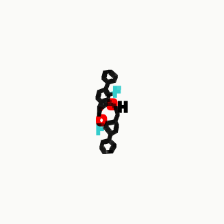 Fc1c(-c2ccccc2)ccc2c1OC1CCC[C@H](C2)Oc2c(ccc(-c3ccccc3)c2F)C1